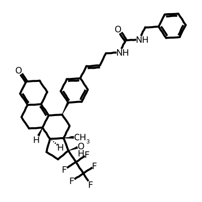 C[C@]12C[C@H](c3ccc(C=CCNC(=O)NCc4ccccc4)cc3)C3=C4CCC(=O)C=C4CC[C@H]3[C@@H]1CC[C@@]2(O)C(F)(F)C(F)(F)F